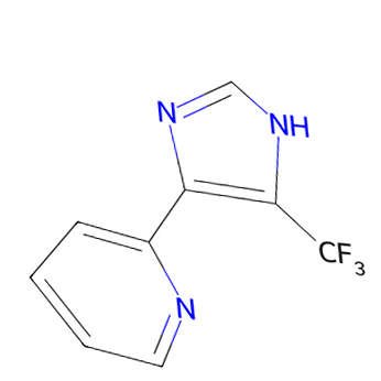 FC(F)(F)c1[nH]cnc1-c1ccccn1